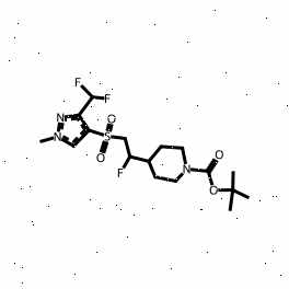 Cn1cc(S(=O)(=O)CC(F)C2CCN(C(=O)OC(C)(C)C)CC2)c(C(F)F)n1